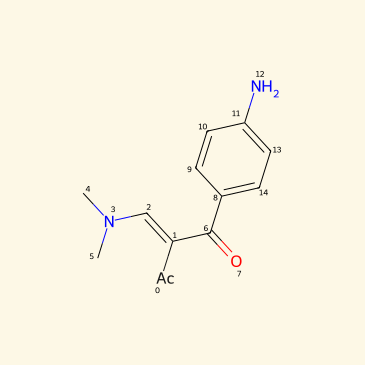 CC(=O)C(=CN(C)C)C(=O)c1ccc(N)cc1